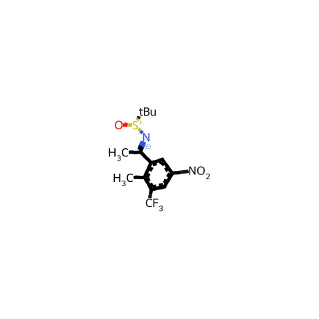 C/C(=N\[S+]([O-])C(C)(C)C)c1cc([N+](=O)[O-])cc(C(F)(F)F)c1C